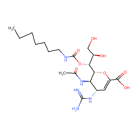 CCCCCCCNC(=O)O[C@@H]([C@@H]1OC(C(=O)O)=C[C@H](NC(=N)N)[C@H]1NC(C)=O)[C@H](O)CO